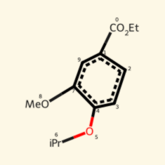 CCOC(=O)c1ccc(OC(C)C)c(OC)c1